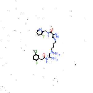 N/C(=C\N(N)CCCCn1cc(C(=O)NCc2ncccc2F)nn1)NC(=O)Cc1cc(Cl)ccc1F